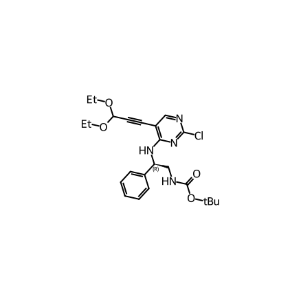 CCOC(C#Cc1cnc(Cl)nc1N[C@@H](CNC(=O)OC(C)(C)C)c1ccccc1)OCC